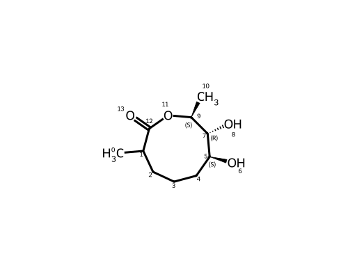 CC1CCC[C@H](O)[C@@H](O)[C@H](C)OC1=O